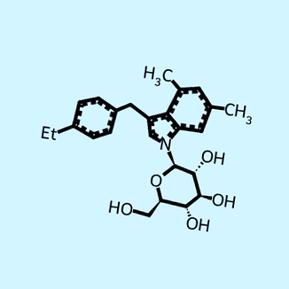 CCc1ccc(Cc2cn([C@@H]3O[C@H](CO)[C@@H](O)[C@H](O)[C@H]3O)c3cc(C)cc(C)c23)cc1